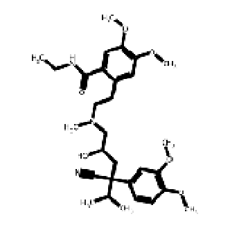 CCNC(=O)c1cc(OC)c(OC)cc1CCN(C)CC(O)CC(C#N)(c1ccc(OC)c(OC)c1)C(C)C